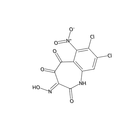 O=C1Nc2cc(Cl)c(Cl)c([N+](=O)[O-])c2C(=O)C(=O)C1=NO